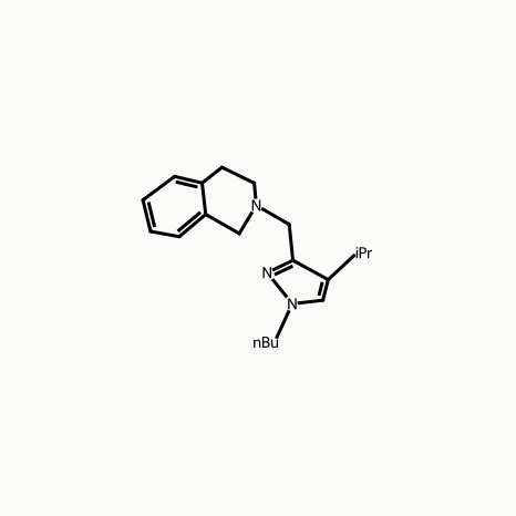 CCCCn1cc(C(C)C)c(CN2CCc3ccccc3C2)n1